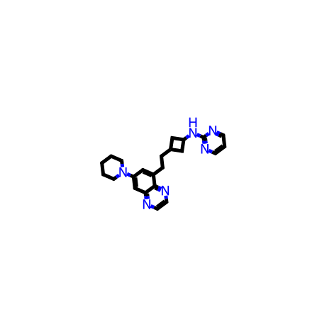 c1cnc(NC2CC(CCc3cc(N4CCCCC4)cc4nccnc34)C2)nc1